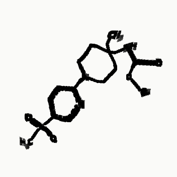 CC1(NC(=O)OC(C)(C)C)CCN(c2ccc(S(C)(=O)=O)cn2)CC1